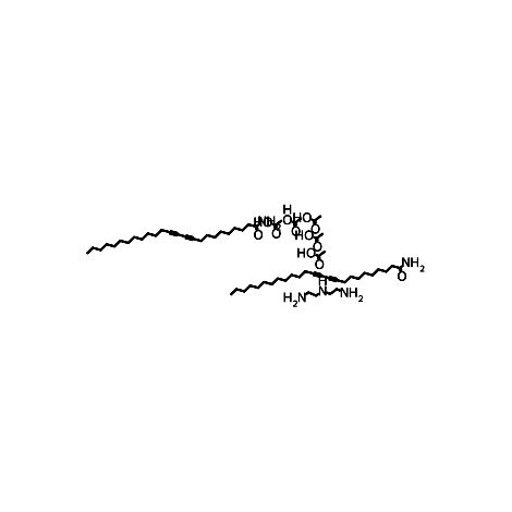 CC(=O)O.CC(=O)O.CC(=O)O.CC(=O)O.CC(=O)O.CCCCCCCCCCCCC#CC#CCCCCCCCCC(N)=O.CCCCCCCCCCCCC#CC#CCCCCCCCCC(N)=O.NCCNCCN